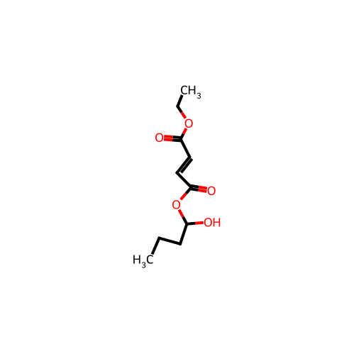 CCCC(O)OC(=O)C=CC(=O)OCC